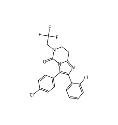 O=C1N(CC(F)(F)F)CCc2nc(-c3ccccc3Cl)c(-c3ccc(Cl)cc3)n21